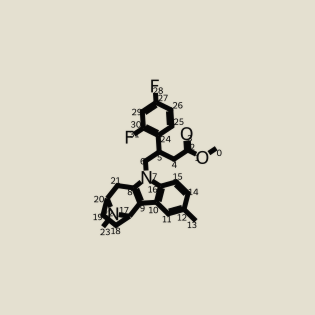 COC(=O)CC(Cn1c2c(c3cc(C)ccc31)C1CCC(C2)N1C)c1ccc(F)cc1F